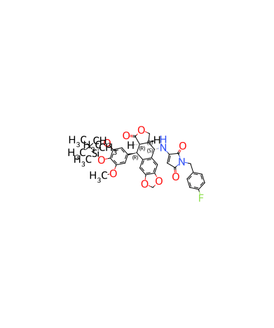 COc1cc([C@@H]2c3cc4c(cc3[C@@H](NC3=CC(=O)N(Cc5ccc(F)cc5)C3=O)[C@H]3COC(=O)[C@H]23)OCO4)cc(OC)c1O[Si](C)(C)C(C)(C)C